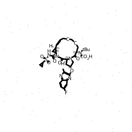 Cc1nc2ccc(F)cc2nc1O[C@@H]1C[C@H]2C(=O)N[C@]3(C(=O)NS(=O)(=O)C4CC4)C[C@H]3C=CCCCCC[C@H](N(C(=O)O)C(C)(C)C)C(=O)N2C1